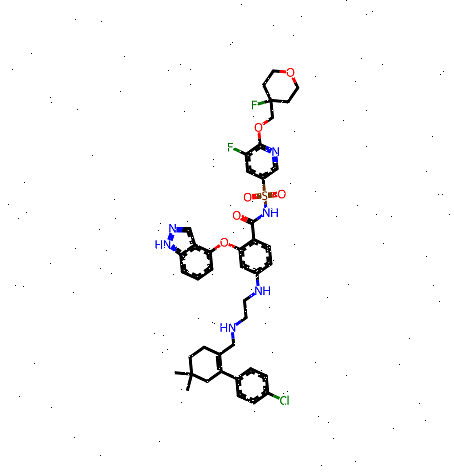 CC1(C)CCC(CNCCNc2ccc(C(=O)NS(=O)(=O)c3cnc(OCC4(F)CCOCC4)c(F)c3)c(Oc3cccc4[nH]ncc34)c2)=C(c2ccc(Cl)cc2)C1